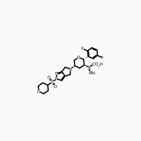 CC(C)(C)N(C(=O)O)[C@H]1C[C@@H](N2Cc3cn(S(=O)(=O)C4CCOCC4)nc3C2)CO[C@@H]1c1cc(F)ccc1F